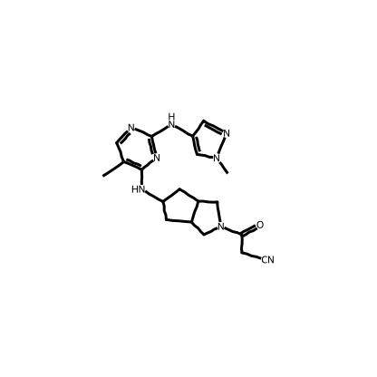 Cc1cnc(Nc2cnn(C)c2)nc1NC1CC2CN(C(=O)CC#N)CC2C1